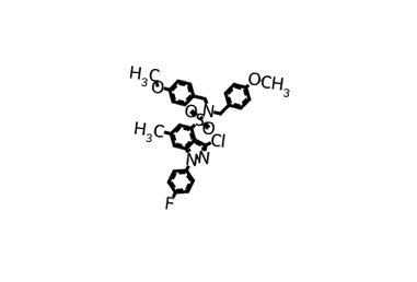 COc1ccc(CN(Cc2ccc(OC)cc2)S(=O)(=O)c2cc(C)cc3c2c(Cl)nn3-c2ccc(F)cc2)cc1